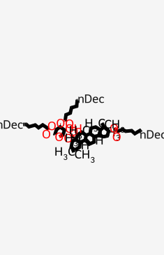 CCCCCCCCCCCCCCCC(=O)O[C@@H]1[C@@H](O)[C@H](OC(=O)[C@]23CCC(C)(C)C[C@@H]2C2=CC[C@H]4[C@@]5(C)CC[C@@H](OC(=O)CCCCCCCCCCCCCCC)C(C)(C)C5CC[C@@]4(C)[C@]2(C)CC3)OC[C@@H]1OC(=O)CCCCCCCCCCCCCCC